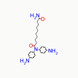 NC(=O)CCCCCCCCC(=O)N(c1ccc(N)cc1)c1ccc(N)cc1